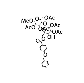 CO[C@@H]1O[C@H](COC(C)=O)[C@@H](O[C@@H]2O[C@H](COC(=O)c3ccc(OCc4ccccc4)cc3)[C@@H](O)[C@H](OC(C)=O)[C@H]2OC(C)=O)[C@H](OC(C)=O)[C@H]1OC(C)=O